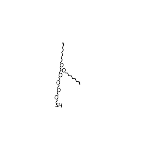 C=CCCCCCCCOCC(COCCOCCOCCOCCS)OCCCCCCCC=C